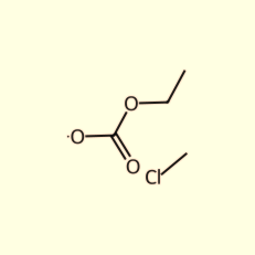 CCOC([O])=O.CCl